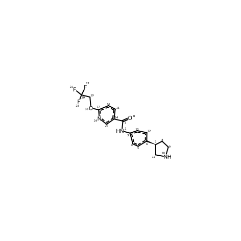 O=C(Nc1ccc([C@H]2CCNC2)cc1)c1ccc(OCC(F)(F)F)nc1